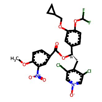 COc1ccc(C(=O)O[C@@H](Cc2c(Cl)c[n+]([O-])cc2Cl)c2ccc(OC(F)F)c(OCC3CC3)c2)cc1[N+](=O)[O-]